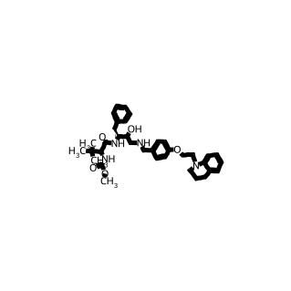 COC(=O)NC(C(=O)N[C@@H](Cc1ccccc1)C(O)CNCc1ccc(OCCN2CCCc3ccccc32)cc1)C(C)(C)C